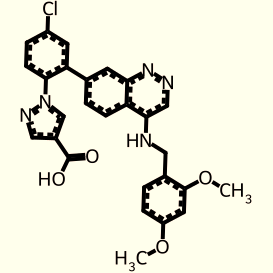 COc1ccc(CNc2cnnc3cc(-c4cc(Cl)ccc4-n4cc(C(=O)O)cn4)ccc23)c(OC)c1